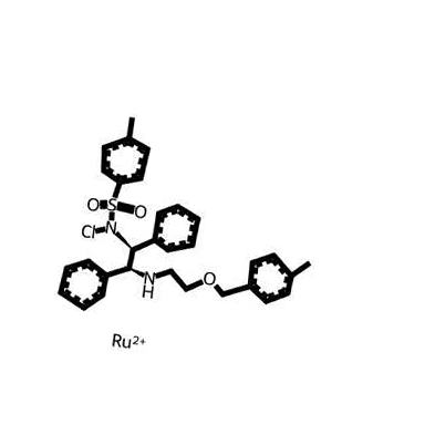 Cc1ccc(COCCN[C@@H](c2ccccc2)[C@H](c2ccccc2)N(Cl)S(=O)(=O)c2ccc(C)cc2)cc1.[Ru+2]